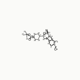 Cc1c(C=O)ccc2c1cc(C#N)n2CC(O)C1CCN(C(=O)OC(C)(C)C)CC1